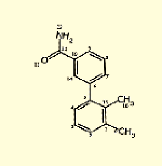 Cc1cccc(-c2cccc(C(N)=O)c2)c1C